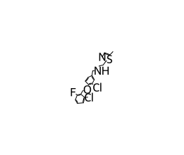 Cc1cnc(CCNCc2ccc(OCc3c(F)cccc3Cl)c(Cl)c2)s1